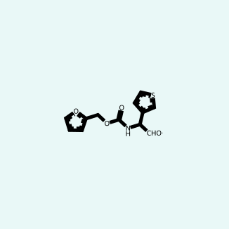 O=[C]C(NC(=O)OCc1ccco1)c1ccsc1